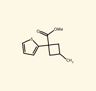 COC(=O)C1(c2cccs2)CC(C)C1